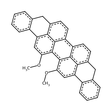 COc1cc2c3c(ccc4c5ccc6c7c(cc(OC)c(c1c34)c75)-c1ccccc1C6)Cc1ccccc1-2